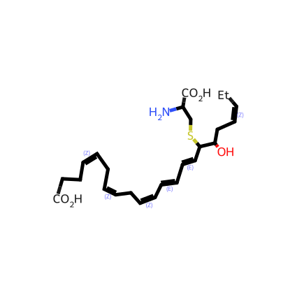 CC/C=C\CC(O)C(/C=C/C=C/C=C\C/C=C\C/C=C\CCC(=O)O)SCC(N)C(=O)O